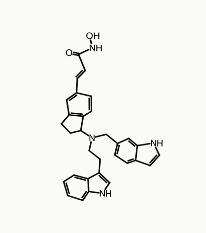 O=C(C=Cc1ccc2c(c1)CCC2N(CCc1c[nH]c2ccccc12)Cc1ccc2cc[nH]c2c1)NO